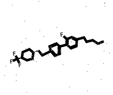 CCCCCc1ccc(-c2ccc(CC[C@H]3CC[C@H](C(F)(F)F)CC3)cc2)c(F)c1